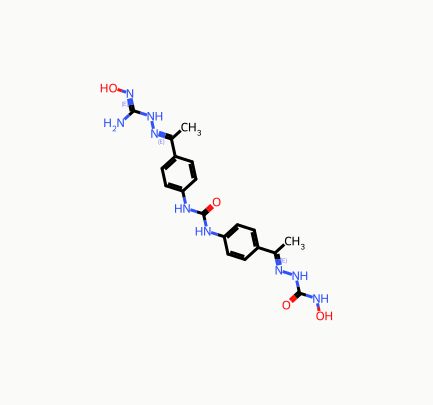 C/C(=N\NC(=O)NO)c1ccc(NC(=O)Nc2ccc(/C(C)=N/N/C(N)=N/O)cc2)cc1